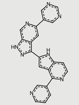 c1cncc(-c2nccc3[nH]c(-c4n[nH]c5cnc(-c6cncnc6)cc45)cc23)c1